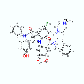 CN1CCN(C[C@@H]2Cc3ccccc3CN2C(=O)c2cc3c(cc2-n2cc(C(=O)N(c4ccccc4)c4ccc(O)cc4)c4cc(F)ccc42)OCO3)CC1